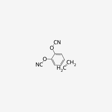 C=C.N#COc1ccccc1OC#N